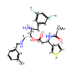 CCc1cccc(CNC[C@@H](OC(=O)CC(NC(=O)NC)c2ccsc2)[C@@H](N)Cc2cc(F)cc(F)c2)c1